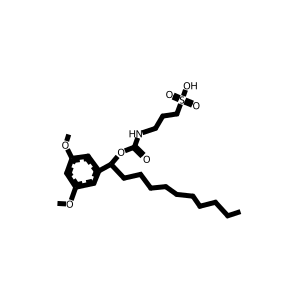 CCCCCCCCCCC(OC(=O)NCCCS(=O)(=O)O)c1cc(OC)cc(OC)c1